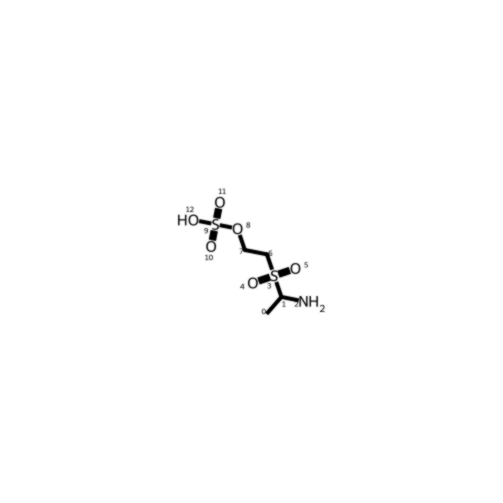 CC(N)S(=O)(=O)CCOS(=O)(=O)O